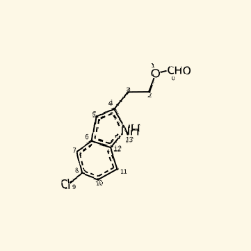 O=COCCc1cc2cc(Cl)ccc2[nH]1